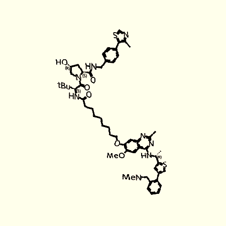 CNCc1ccccc1-c1csc([C@@H](C)Nc2nc(C)nc3cc(OCCCCCCCCC(=O)N[C@H](C(=O)N4C[C@H](O)C[C@H]4C(=O)NCc4ccc(-c5scnc5C)cc4)C(C)(C)C)c(OC)cc23)c1